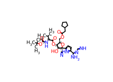 CC(C)[C@@H](NC(=O)OC(C)(C)C)C(=O)O[C@H]1[C@@H](O)[C@](C#N)(c2ccc(/C(N)=N\C=N)[nH]2)O[C@@H]1COC(=O)CC1CCCC1